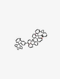 c1ccc(-c2ccccc2N(c2ccc(-c3ccc4c(c3)-c3ccccc3C43c4ccccc4Oc4ccccc43)cc2)c2cccc3c2-c2ccccc2C32c3ccccc3Oc3ccccc32)cc1